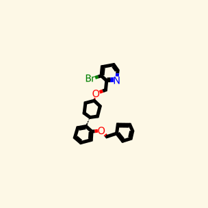 Brc1cccnc1CO[C@H]1CC[C@@H](c2ccccc2OCc2ccccc2)CC1